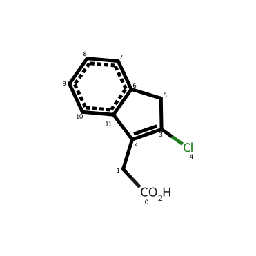 O=C(O)CC1=C(Cl)Cc2ccccc21